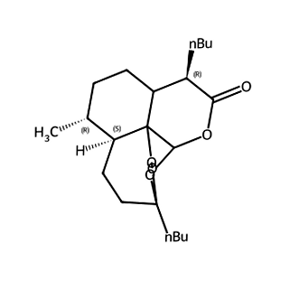 CCCC[C@H]1C(=O)OC2OC3(CCCC)CC[C@H]4[C@H](C)CCC1C24OO3